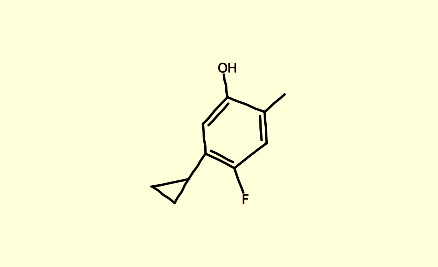 Cc1cc(F)c(C2CC2)cc1O